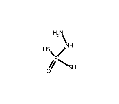 NNP(=O)(S)S